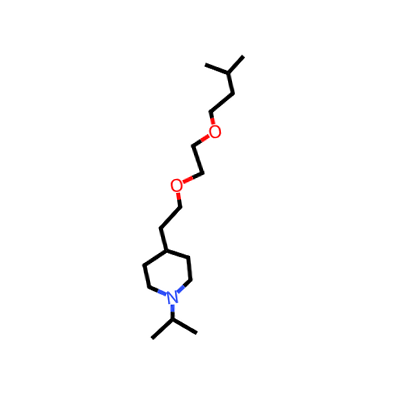 CC(C)CCOCCOCCC1CCN(C(C)C)CC1